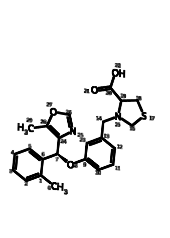 Cc1ccccc1[C@H](Oc1cccc(CN2CSCC2C(=O)O)c1)c1ncoc1C